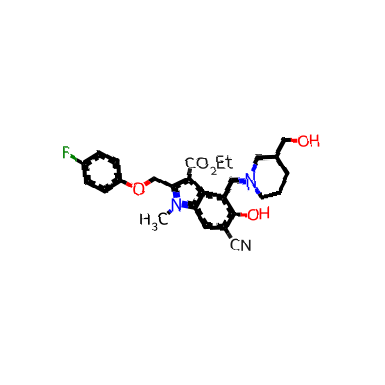 CCOC(=O)c1c(COc2ccc(F)cc2)n(C)c2cc(C#N)c(O)c(CN3CCCC(CO)C3)c12